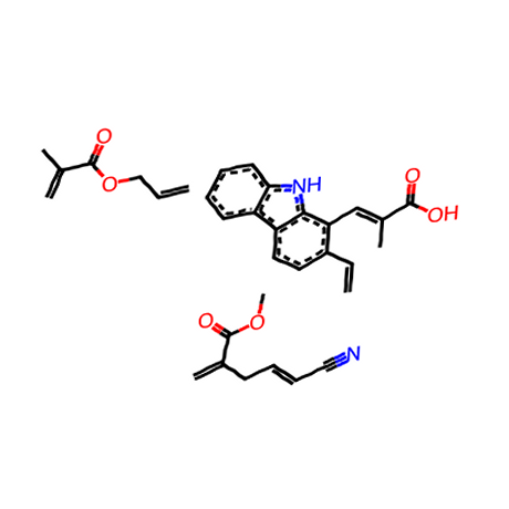 C=C(CC=CC#N)C(=O)OC.C=CCOC(=O)C(=C)C.C=Cc1ccc2c([nH]c3ccccc32)c1C=C(C)C(=O)O